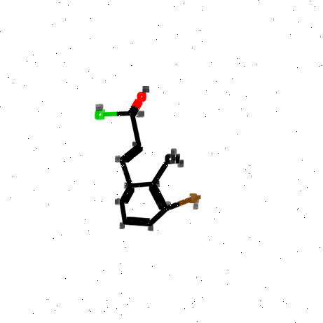 Cc1c(Br)cccc1C=CC(=O)Cl